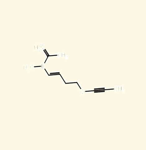 C=C(C)B(C)C=CCCOC#CC